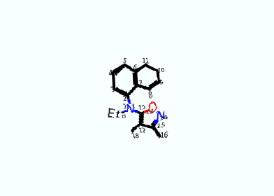 CCN(c1cccc2c1C=CCC2)c1onc(C)c1C